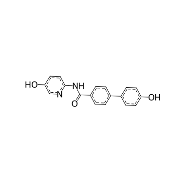 O=C(Nc1ccc(O)cn1)c1ccc(-c2ccc(O)cc2)cc1